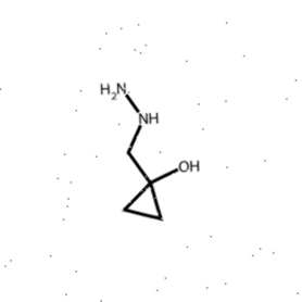 NNCC1(O)CC1